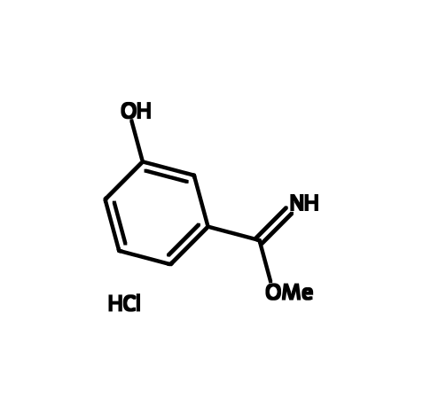 COC(=N)c1cccc(O)c1.Cl